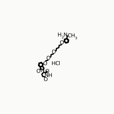 CC(N)c1cccc(OCCCCCOCCCOCCOc2cccc3c2CN(C2CCC(=O)NC2=O)C3=O)c1.Cl